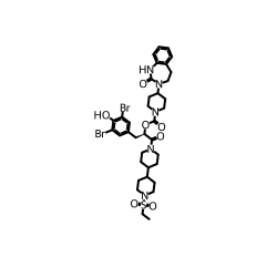 CCS(=O)(=O)N1CCC(C2CCN(C(=O)[C@@H](Cc3cc(Br)c(O)c(Br)c3)OC(=O)N3CCC(N4CCc5ccccc5NC4=O)CC3)CC2)CC1